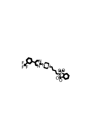 O=S1(=O)c2ccccc2S(=O)(=O)N1CCCCN1CCN(c2ncc(-c3cccc(C(F)(F)F)c3)cn2)CC1